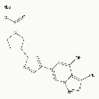 CC(C)(C)OC(=O)N1CCC(n2cc(-c3cc(O)c4c(C#N)cnn4c3)cn2)C1